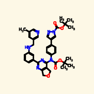 Cc1cncc(CNc2cccc(-c3nc4c(c(N(C(=O)OC(C)(C)C)c5ccc(-c6cnn(C(=O)OC(C)(C)C)c6)cc5)n3)COC4)c2)c1